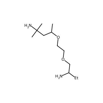 CCC(N)COCCOC(C)CC(C)(C)N